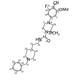 COc1cc(N2CCN(C(=O)NCCC3CCN(Cc4ccccc4)CC3)[C@H](C)C2)cc(F)c1C#N